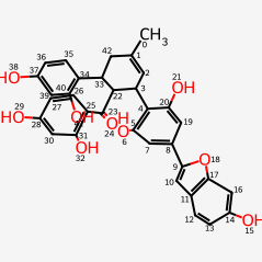 CC1=CC(c2c(O)cc(-c3cc4ccc(O)cc4o3)cc2O)C(C(=O)c2ccc(O)cc2O)C(c2ccc(O)cc2O)C1